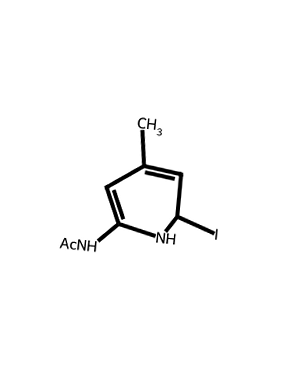 CC(=O)NC1=CC(C)=CC(I)N1